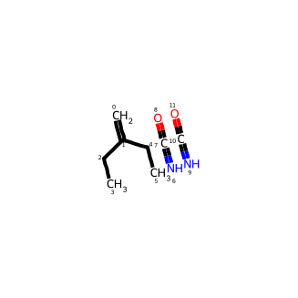 C=C(CC)CC.N=C=O.N=C=O